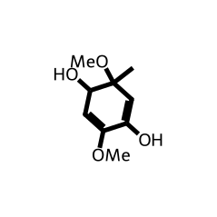 COC1=CC(O)C(C)(OC)C=C1O